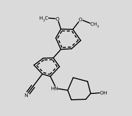 COc1ccc(-c2ccc(C#N)c(NC3CCC(O)CC3)c2)cc1OC